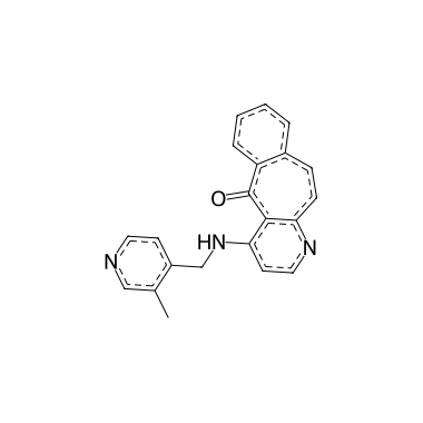 Cc1cnccc1CNc1ccnc2ccc3ccccc3c(=O)c12